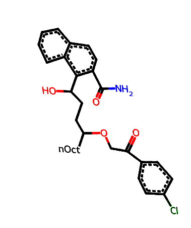 CCCCCCCCC(CCC(O)c1c(C(N)=O)ccc2ccccc12)OCC(=O)c1ccc(Cl)cc1